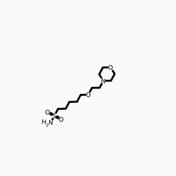 NS(=O)(=O)CCCCCOCCN1CCOCC1